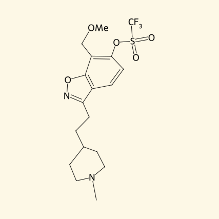 COCc1c(OS(=O)(=O)C(F)(F)F)ccc2c(CCC3CCN(C)CC3)noc12